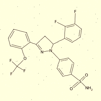 NS(=O)(=O)c1ccc(N2N=C(c3ccccc3OC(F)(F)F)CC2c2cccc(F)c2F)cc1